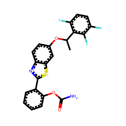 CC(Oc1ccc2nc(-c3ccccc3OC(N)=O)sc2c1)c1c(F)ccc(F)c1F